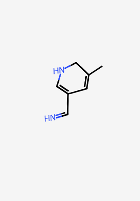 CC1=CC(C=N)=CNC1